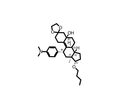 CCCCO[C@H]1CC[C@H]2[C@@H]3CC[C@@]4(O)CC5(CCC4=C3[C@@H](c3ccc(N(C)C)cc3)C[C@]12C)OCCO5